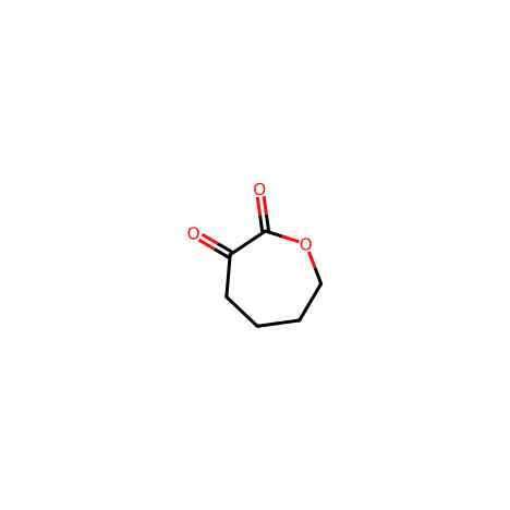 O=C1CCCCOC1=O